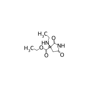 CCN[C@]1(C(=O)OCC)CC(=O)NC1=O